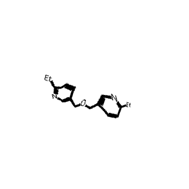 CCc1ccc(COCc2ccc(CC)nc2)cn1